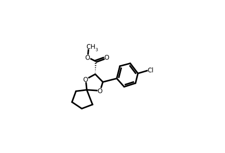 COC(=O)[C@H]1OC2(CCCC2)OC1c1ccc(Cl)cc1